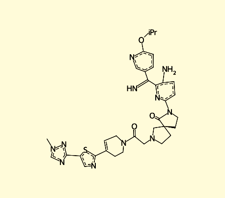 CC(C)Oc1ccc(C(=N)c2nc(N3CC[C@]4(CCN(CC(=O)N5CC=C(c6ncc(-c7ncn(C)n7)s6)CC5)C4)C3=O)ccc2N)cn1